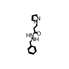 O=C(CCn1cccn1)NNCc1ccccc1